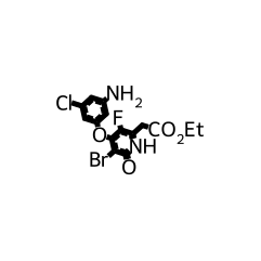 CCOC(=O)Cc1[nH]c(=O)c(Br)c(Oc2cc(N)cc(Cl)c2)c1F